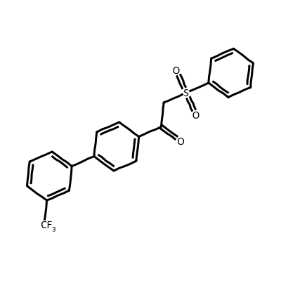 O=C(CS(=O)(=O)c1ccccc1)c1ccc(-c2cccc(C(F)(F)F)c2)cc1